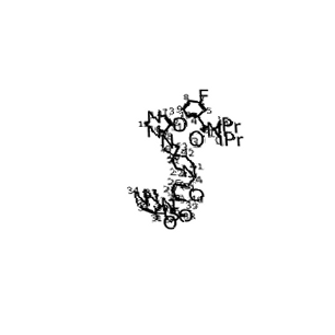 CC(C)N(C(=O)c1cc(F)ccc1Oc1cncnc1N1CC2(CCN(C[C@@H]3CC[C@@H](N(c4ccn(C)n4)[SH](=O)=O)CO3)CC2)C1)C(C)C